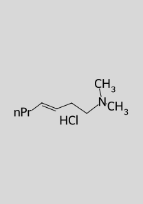 CCCC=CCCN(C)C.Cl